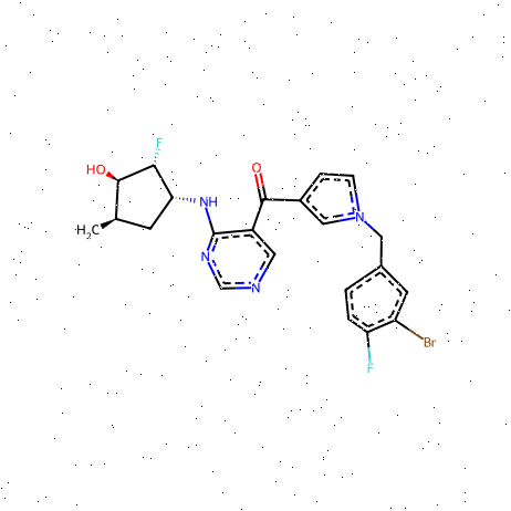 [CH2][C@@H]1C[C@@H](Nc2ncncc2C(=O)c2ccn(Cc3ccc(F)c(Br)c3)c2)[C@@H](F)[C@@H]1O